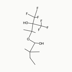 CCC(C)(C)C(O)OC(C)(C)C(O)(C(F)(F)F)C(F)(F)F